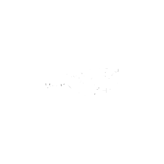 CC[C@]12CC[C@]3(C)c4ccc(OC)cc4CC[C@]3(C)C1CCC2=O